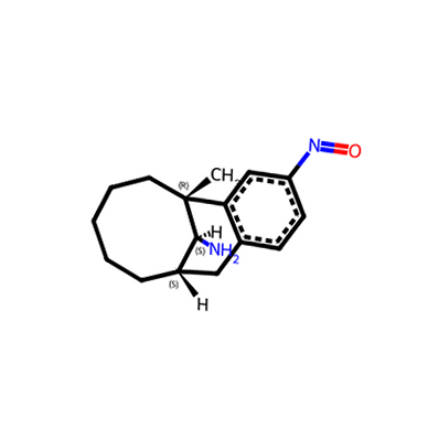 C[C@@]12CCCCC[C@@H](Cc3ccc(N=O)cc31)[C@@H]2N